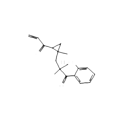 C=CC(=O)C1CC1(C)CC(C)(C)C(=O)c1ccccc1C(=O)O